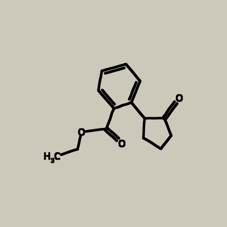 CCOC(=O)c1ccccc1C1CCCC1=O